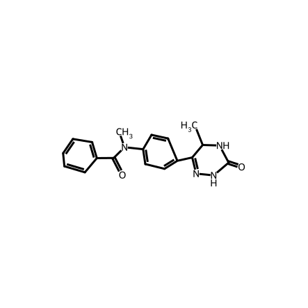 CC1NC(=O)NN=C1c1ccc(N(C)C(=O)c2ccccc2)cc1